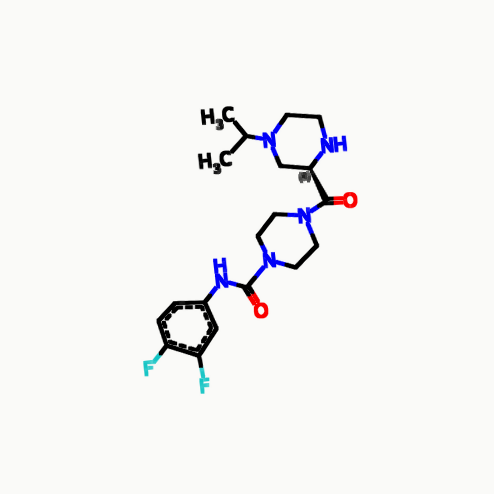 CC(C)N1CCN[C@@H](C(=O)N2CCN(C(=O)Nc3ccc(F)c(F)c3)CC2)C1